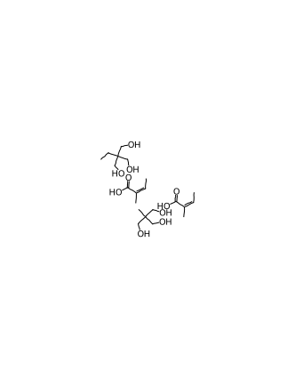 CC(CO)(CO)CO.CC=C(C)C(=O)O.CC=C(C)C(=O)O.CCC(CO)(CO)CO